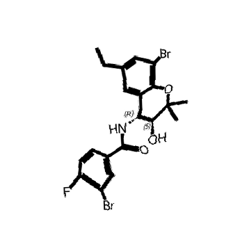 CCc1cc(Br)c2c(c1)[C@@H](NC(=O)c1ccc(F)c(Br)c1)[C@H](O)C(C)(C)O2